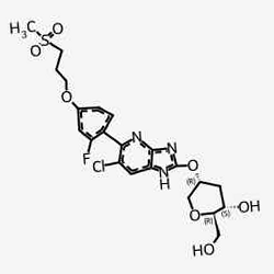 CS(=O)(=O)CCCOc1ccc(-c2nc3nc(O[C@H]4CO[C@H](CO)[C@@H](O)C4)[nH]c3cc2Cl)c(F)c1